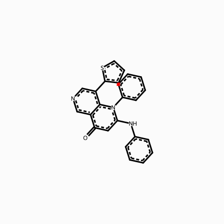 O=c1cc(Nc2ccccc2)n(-c2ccccc2)c2c(-c3cccs3)cncc12